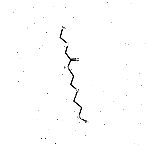 CCOCCOCCNC(=O)COCC(C)=O